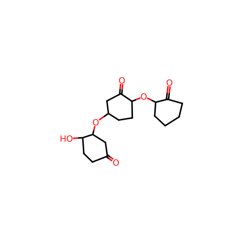 O=C1CCC(O)C(OC2CCC(OC3CCCCC3=O)C(=O)C2)C1